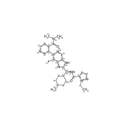 CCn1nccc1C(=O)N[C@H](c1nc2c(F)c(-c3cnccc3C(=O)N(C)C)ncc2[nH]1)C1CCC(C)CC1